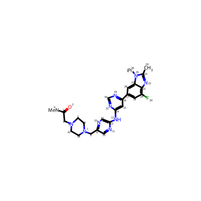 CNC(=O)CN1CCN(Cc2cnc(Nc3cc(-c4cc(F)c5nc(C)n(C(C)C)c5c4)ncn3)cn2)CC1